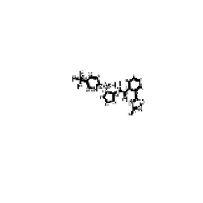 Cc1noc(-c2ccccc2C(=O)NC2CCC[C@@H]2[AsH]c2ccc(C(F)(F)F)cn2)n1